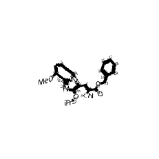 COc1cccn2c(C=C(C#N)C(=O)OCc3ccccc3)c(OC(C)C)nc12